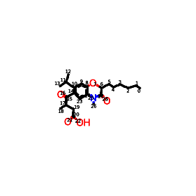 CCCCCCC1Oc2cc(C(C)C)c(C(=O)C(C)CC(=O)O)cc2N(C)C1=O